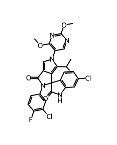 COc1ncc(-n2cc3c(c2C(C)C)C2(C(=O)Nc4cc(Cl)ccc42)N(c2ccc(F)c(Cl)c2)C3=O)c(OC)n1